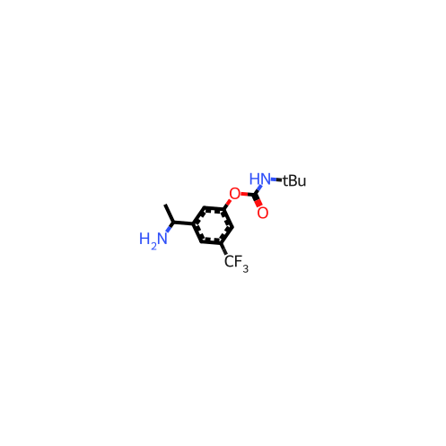 CC(N)c1cc(OC(=O)NC(C)(C)C)cc(C(F)(F)F)c1